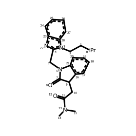 CC(C)CCn1c(CN2C(=O)C(CC(=O)N(C)C)c3ccccc32)nc2ccccc21